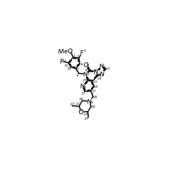 COc1c(F)cc(Cn2c(=O)n3ncnc3c3cc(CN4CC(C)OC(C)C4)cnc32)cc1F